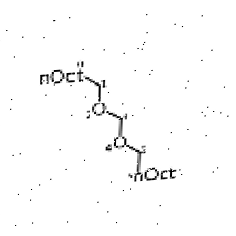 CCCCCCCCCOCOCCCCCCCCC